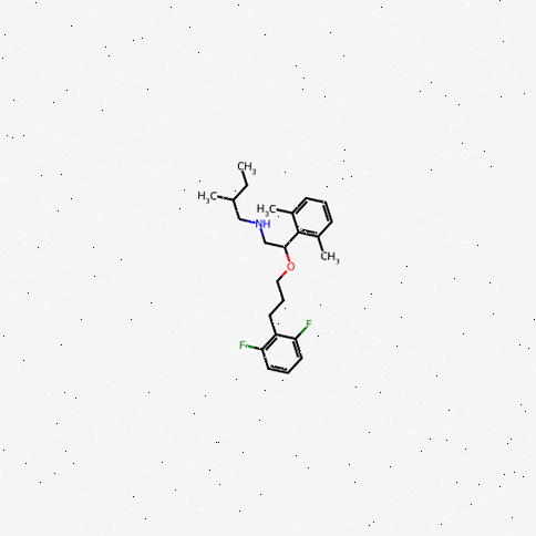 CCC(C)CNCC(OCCCc1c(F)cccc1F)c1c(C)cccc1C